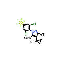 CNc1c(C2(C#N)CC2)c(C#N)nn1-c1c(Cl)cc(S(F)(F)(F)(F)F)cc1Cl